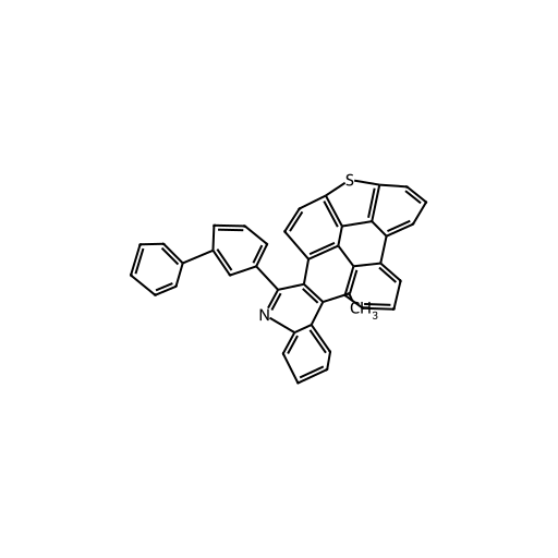 CCc1c(-c2ccc3sc4cccc5c6ccccc6c2c3c45)c(-c2cccc(-c3ccccc3)c2)nc2ccccc12